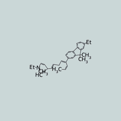 C#CC(/C=C\N(C)CC)/C=C/C/C=C(\C=C/C)c1ccc2c(c1)C(C)(C)c1cc(CC)ccc1-2